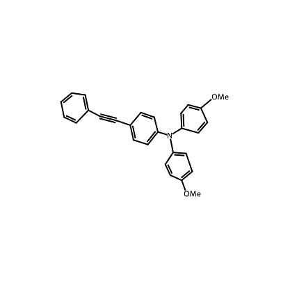 COc1ccc(N(c2ccc(C#Cc3ccccc3)cc2)c2ccc(OC)cc2)cc1